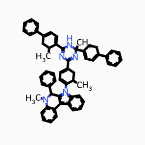 CC1CC(c2ccccc2)=CC=C1C1=NC(C2=CC=C(n3c4c(c5ccccc53)-c3ccccc3N(C)C4c3ccccc3)C(C)C2)=NC(C)(C2=CC=C(c3ccccc3)CC2)N1